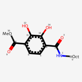 CCCCCCCCNC(=O)c1ccc(C(=O)OC)c(O)c1O